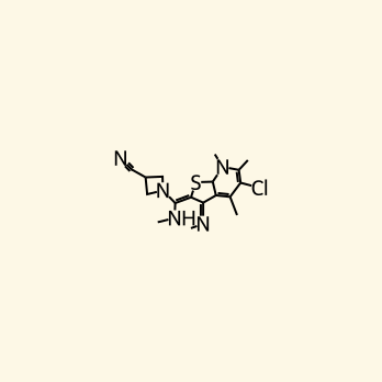 C/N=C1/C2=C(C)C(Cl)=C(C)N(C)C2S/C1=C(/NC)N1CC(C#N)C1